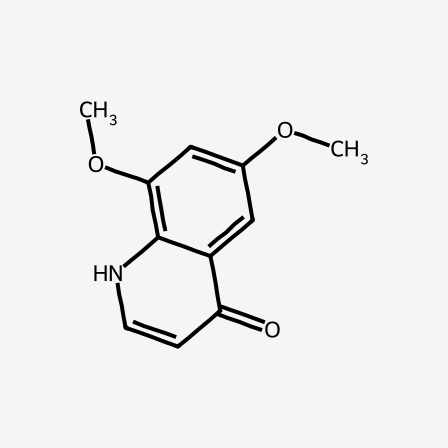 COc1cc(OC)c2[nH]ccc(=O)c2c1